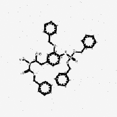 CNN(C(=O)OCc1ccccc1)C(C=O)Cc1ccc(OP(=O)(OCc2ccccc2)OCc2ccccc2)c(OCc2ccccc2)c1